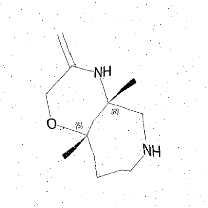 C=C1CO[C@@]2(C)CCNC[C@@]2(C)N1